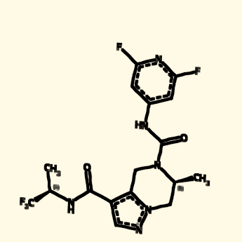 C[C@H]1Cn2ncc(C(=O)N[C@H](C)C(F)(F)F)c2CN1C(=O)Nc1cc(F)nc(F)c1